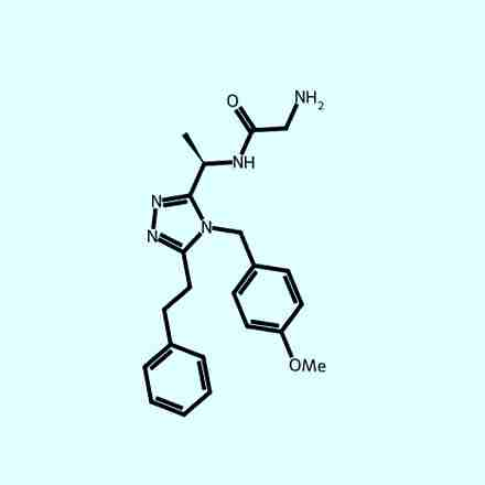 COc1ccc(Cn2c(CCc3ccccc3)nnc2[C@@H](C)NC(=O)CN)cc1